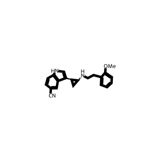 COc1ccccc1CCN[C@@H]1C[C@H]1c1c[nH]c2ccc(C#N)cc12